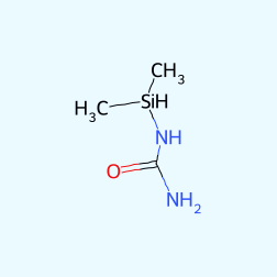 C[SiH](C)NC(N)=O